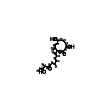 CCC(O)C(C)C1OC1CC(C)/C=C/C=C(\C)C1OC(=O)CC(O)CCCC(O)/C=C/C1C